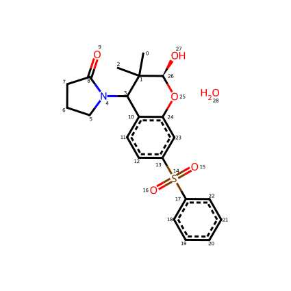 CC1(C)C(N2CCCC2=O)c2ccc(S(=O)(=O)c3ccccc3)cc2O[C@@H]1O.O